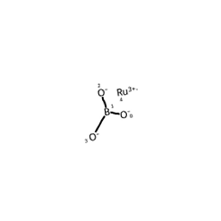 [O-]B([O-])[O-].[Ru+3]